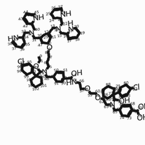 CCOC(N(CCCCOC1C=C(CN(CC2C=CCCN2)CC2CCC=CN2)CC(CN(CC2C=CC=CN2)CC2C=CC=CN2)C1)CC1C=CC(C(O)NCCOCCOCCN(CC2C=CC(C(O)O)=CC2)C(O)C2(C3=CCC(Cl)C=C3)CCCCC2)=CC1)C1(C2=CC=C(Cl)CC2)CCCCC1